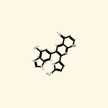 Cc1ccc(-c2nc3[nH]ccc(=O)c3cc2-c2cc(Cl)c3ncoc3c2)s1